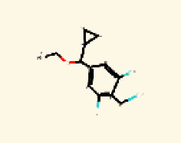 CCC(C)COC(c1cc(F)c(CF)c(F)c1)C1CC1